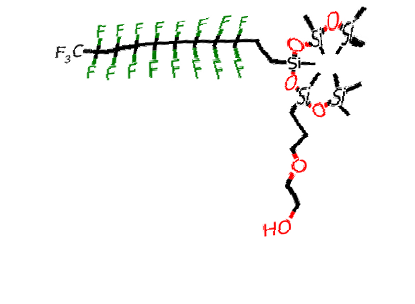 C[Si](C)(C)O[Si](C)(C)O[Si](C)(CCC(F)(F)C(F)(F)C(F)(F)C(F)(F)C(F)(F)C(F)(F)C(F)(F)C(F)(F)C(F)(F)F)O[Si](C)(CCCOCCO)O[Si](C)(C)C